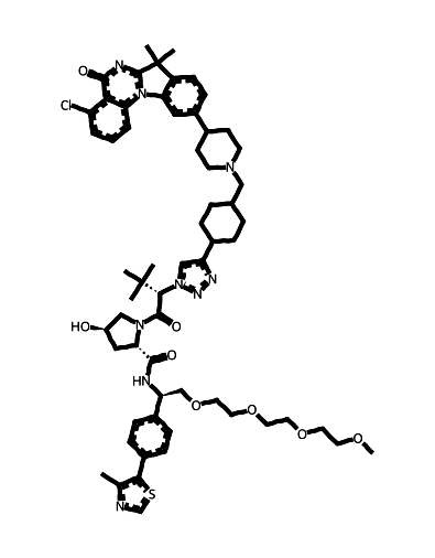 COCCOCCOCCOC[C@H](NC(=O)[C@@H]1C[C@@H](O)CN1C(=O)[C@@H](n1cc(C2CCC(CN3CCC(c4ccc5c(c4)-n4c(nc(=O)c6c(Cl)cccc64)C5(C)C)CC3)CC2)nn1)C(C)(C)C)c1ccc(-c2scnc2C)cc1